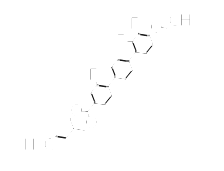 C/C=C/C1COC(c2ccc(-c3ccc(-c4ccc(OCC)c(F)c4F)cc3)c(F)c2)OC1